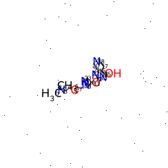 CN(C)CCOCCn1cc(Oc2nc(O)c3ccncc3n2)cn1